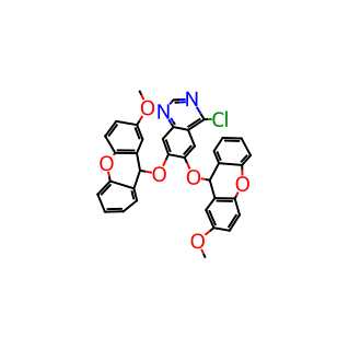 COc1ccc2c(c1)C(Oc1cc3ncnc(Cl)c3cc1OC1c3ccccc3Oc3ccc(OC)cc31)c1ccccc1O2